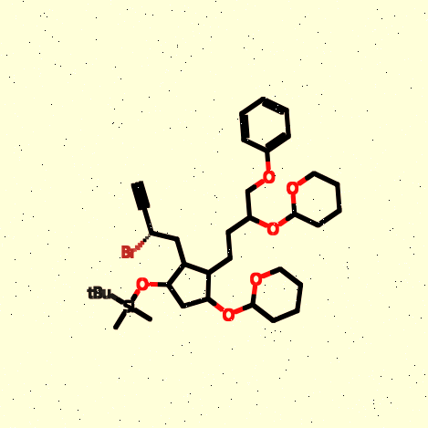 C#C[C@@H](Br)CC1C(O[Si](C)(C)C(C)(C)C)CC(OC2CCCCO2)C1CCC(COc1ccccc1)OC1CCCCO1